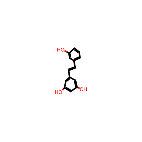 Oc1cccc(C=Cc2cc(O)cc(O)c2)c1